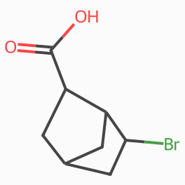 O=C(O)C1CC2CC(Br)C1C2